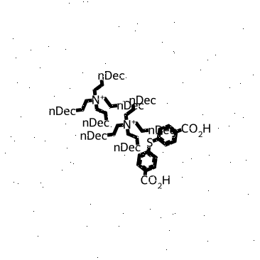 CCCCCCCCCCCC[N+](CCCCCCCCCCCC)(CCCCCCCCCCCC)CCCCCCCCCCCC.CCCCCCCCCCCC[N+](CCCCCCCCCCCC)(CCCCCCCCCCCC)CCCCCCCCCCCC.O=C(O)c1ccc(Sc2ccc(C(=O)O)cc2)cc1